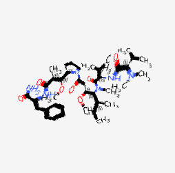 CC[C@H](C)[C@@H]([C@@H](CC(=O)N1CCC[C@H]1[C@H](OC)[C@@H](C)C(=O)NC(Cc1ccccc1)C(N)=O)OC)N(C)C(=O)[C@@H](NC(=O)[C@H](C(C)C)N(C)C)C(C)C